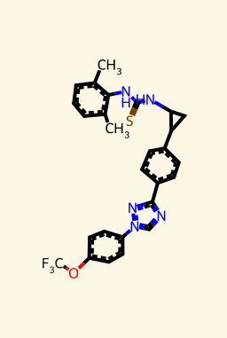 Cc1cccc(C)c1NC(=S)NC1CC1c1ccc(-c2ncn(-c3ccc(OC(F)(F)F)cc3)n2)cc1